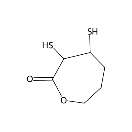 O=C1OCCCC(S)C1S